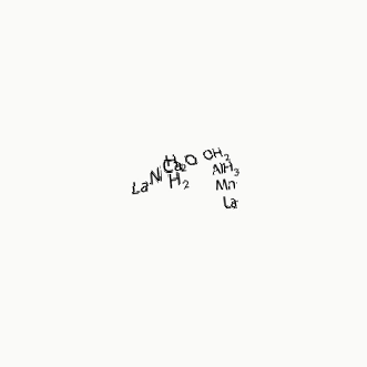 O.O.[AlH3].[CaH2].[La].[La].[Mn].[Ni]